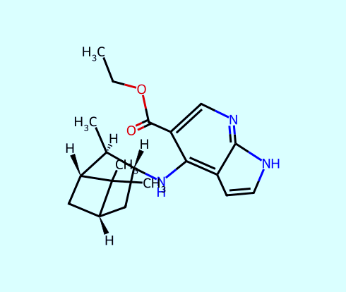 CCOC(=O)c1cnc2[nH]ccc2c1N[C@@H]1C[C@@H]2C[C@H]([C@H]1C)C2(C)C